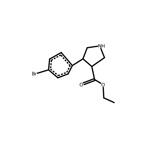 CCOC(=O)C1CNCC1c1ccc(Br)cc1